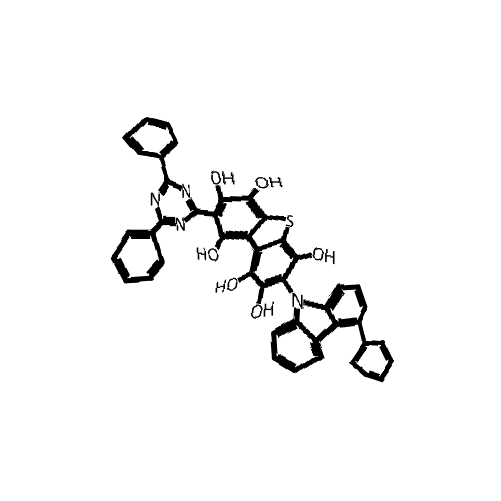 Oc1c(-c2nc(-c3ccccc3)nc(-c3ccccc3)n2)c(O)c2c(sc3c(O)c(-n4c5ccccc5c5c(-c6ccccc6)cccc54)c(O)c(O)c32)c1O